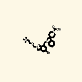 C[Si](C)(C)CCOCn1cc2cc(Br)cc(COCC3(c4ccccc4)CCN(C(=O)O)CC3)c2n1